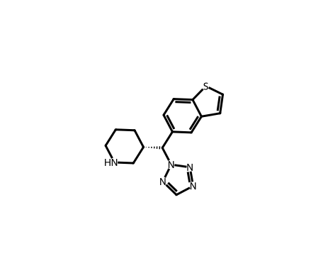 c1nnn(C(c2ccc3sccc3c2)[C@H]2CCCNC2)n1